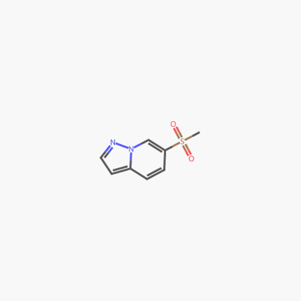 CS(=O)(=O)c1ccc2ccnn2c1